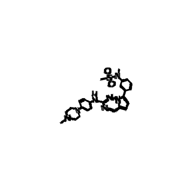 CN1CCN(c2ccc(Nc3ncc4ccc(-c5cccc(N(C)S(C)(=O)=O)c5)n4n3)cc2)CC1